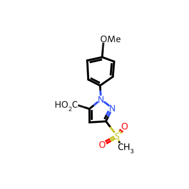 COc1ccc(-n2nc(S(C)(=O)=O)cc2C(=O)O)cc1